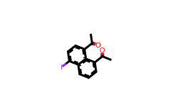 CC(=O)c1cccc2c(I)ccc(C(C)=O)c12